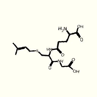 CC(C)=CCSCC(NC(=O)CCC(N)C(=O)O)C(=O)NCC(=O)O